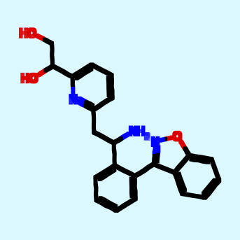 NC(Cc1cccc(C(O)CO)n1)c1ccccc1-c1noc2ccccc12